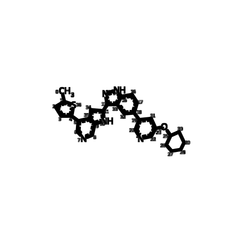 Cc1ccc(-c2cncc3[nH]c(-c4n[nH]c5ccc(-c6cncc(OC7CCCCC7)c6)cc45)cc23)s1